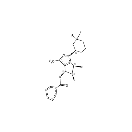 O=C(O[C@H]1c2c(C(F)(F)F)nn([C@@H]3CCCC(F)(F)C3)c2[C@@H](F)[C@H]1F)c1ccccc1